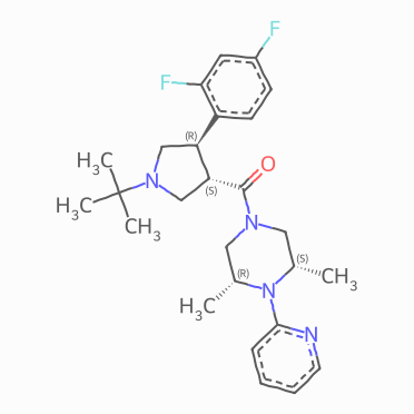 C[C@@H]1CN(C(=O)[C@@H]2CN(C(C)(C)C)C[C@H]2c2ccc(F)cc2F)C[C@H](C)N1c1ccccn1